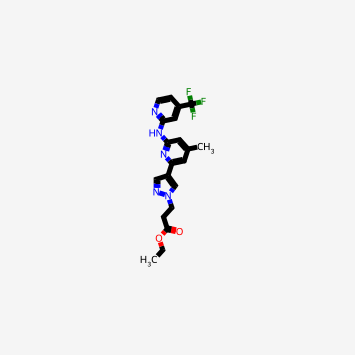 CCOC(=O)CCn1cc(-c2cc(C)cc(Nc3cc(C(F)(F)F)ccn3)n2)cn1